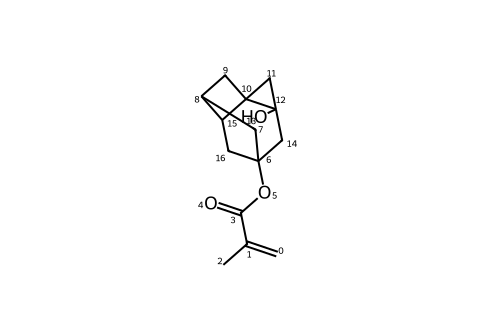 C=C(C)C(=O)OC12CC3CC4(CC4(O)C1)C3C2